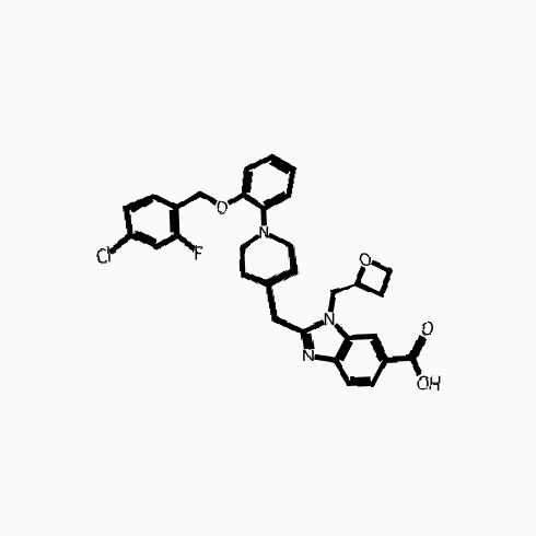 O=C(O)c1ccc2nc(CC3CCN(c4ccccc4OCc4ccc(Cl)cc4F)CC3)n(C[C@@H]3CCO3)c2c1